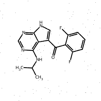 CC(C)Nc1ncnc2[nH]cc(C(=O)c3c(F)cccc3F)c12